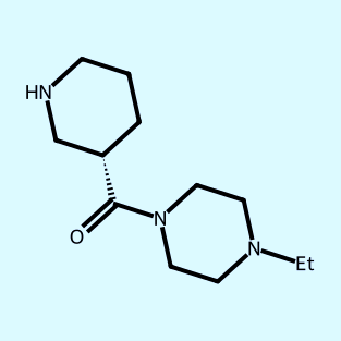 CCN1CCN(C(=O)[C@H]2CCCNC2)CC1